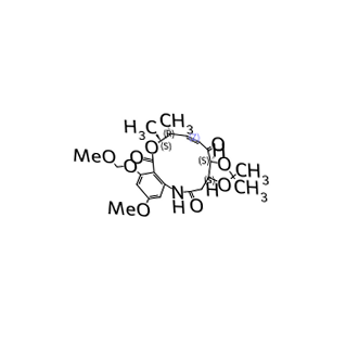 COCOc1cc(OC)cc2c1C(=O)O[C@@H](C)[C@H](C)/C=C\C(=O)[C@H]1OC(C)(C)O[C@H]1CC(=O)N2